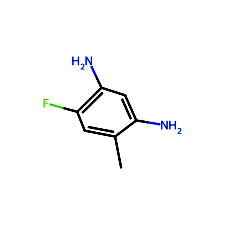 Cc1cc(F)c(N)cc1N